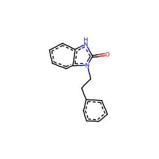 O=c1[nH]c2ccccc2n1CCc1ccccc1